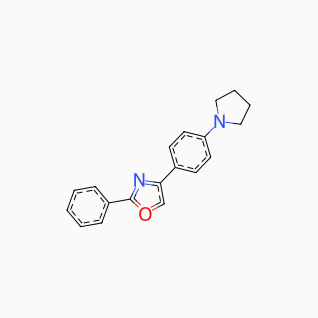 c1ccc(-c2nc(-c3ccc(N4CCCC4)cc3)co2)cc1